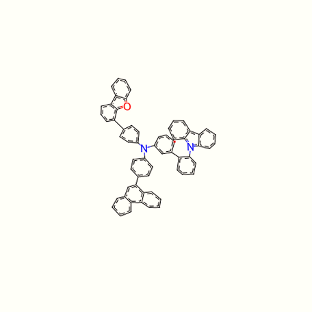 c1cc(-c2ccccc2-n2c3ccccc3c3ccccc32)cc(N(c2ccc(-c3cc4ccccc4c4ccccc34)cc2)c2ccc(-c3cccc4c3oc3ccccc34)cc2)c1